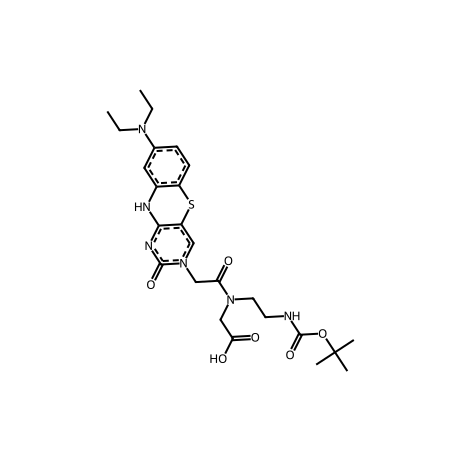 CCN(CC)c1ccc2c(c1)Nc1nc(=O)n(CC(=O)N(CCNC(=O)OC(C)(C)C)CC(=O)O)cc1S2